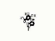 O=C(O)c1cc(O)c(O)c(O)c1.c1ccc2[nH]nnc2c1